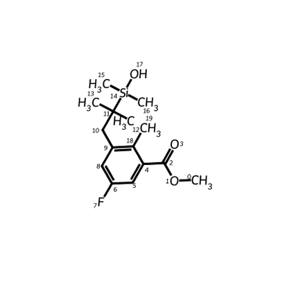 COC(=O)c1cc(F)cc(CC(C)(C)[Si](C)(C)O)c1C